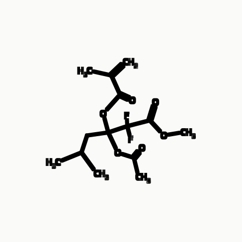 C=C(C)C(=O)OC(CC(C)C)(OC(C)=O)C(F)(F)C(=O)OC